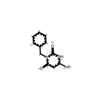 CCCc1cc(=O)n(Cc2ccccc2)c(=O)[nH]1